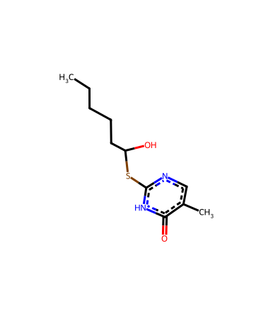 CCCCCC(O)Sc1ncc(C)c(=O)[nH]1